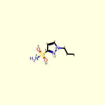 CCCn1ccc(S(N)(=O)=O)n1